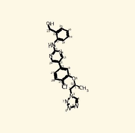 C[C@@H](Cn1cnnn1)Oc1cc(-c2cnc(Nc3ccccc3CO)nc2)ccc1Cl